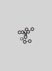 c1ccc(-c2ccc(N(c3ccc4c(c3)C3(CCCC3)c3cccc(-c5ccccc5)c3-4)c3cc4ccccc4cc3-c3ccccc3)cc2)cc1